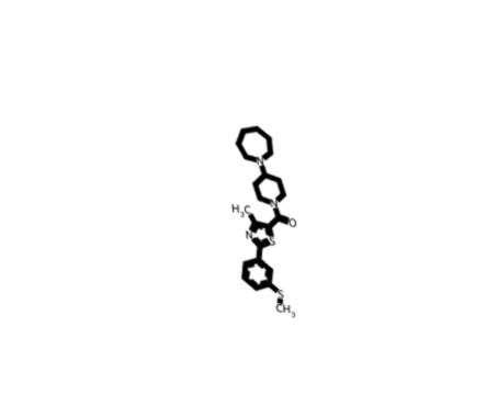 CSc1cccc(-c2nc(C)c(C(=O)N3CCC(N4CCCCCC4)CC3)s2)c1